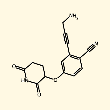 N#Cc1ccc(OC2CCC(=O)NC2=O)cc1C#CCN